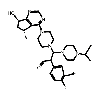 CC(C)N1CCN(C(C(C=O)c2ccc(Cl)c(F)c2)N2CCN(c3ncnc4c3[C@H](C)C[C@H]4O)CC2)CC1